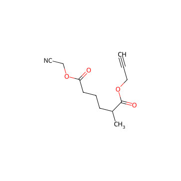 C#CCOC(=O)C(C)CCCC(=O)OCC#N